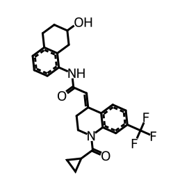 O=C(C=C1CCN(C(=O)C2CC2)c2cc(C(F)(F)F)ccc21)Nc1cccc2c1CC(O)CC2